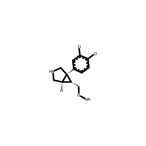 CCCOC[C@@H]1[C@H]2CNC[C@]21c1ccc(Cl)c(Cl)c1